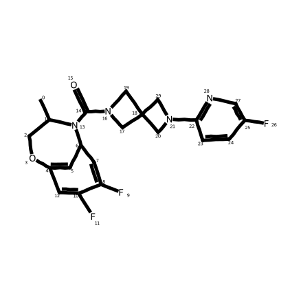 CC1COC2=CC(C=C(F)C(F)=C2)N1C(=O)N1CC2(C1)CN(c1ccc(F)cn1)C2